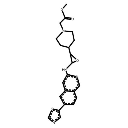 COC(=O)CN1CCC(C2OC2Nc2cc3cc(-c4cncs4)ccc3cn2)CC1